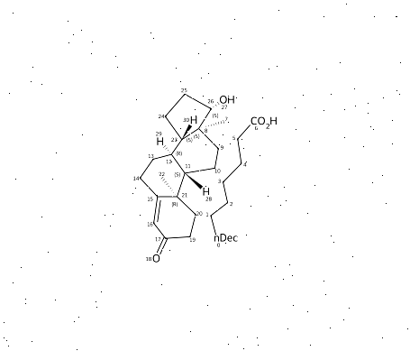 CCCCCCCCCCCCCCCC(=O)O.C[C@]12CC[C@H]3[C@@H](CCC4=CC(=O)CC[C@@]43C)[C@@H]1CC[C@@H]2O